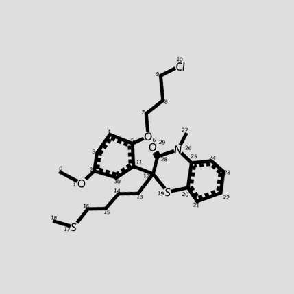 COc1ccc(OCCCCl)c(C2(CCCCSC)Sc3ccccc3N(C)C2=O)c1